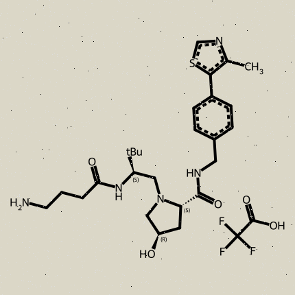 Cc1ncsc1-c1ccc(CNC(=O)[C@@H]2C[C@@H](O)CN2C[C@@H](NC(=O)CCCN)C(C)(C)C)cc1.O=C(O)C(F)(F)F